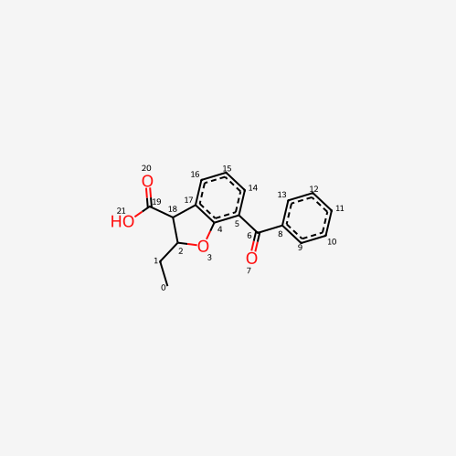 CCC1Oc2c(C(=O)c3ccccc3)cccc2C1C(=O)O